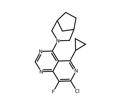 Fc1c(Cl)nc(C2CC2)c2c(N3CC4CCC(C4)C3)ncnc12